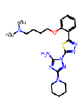 CCCCN(CCCC)CCCCOc1ccccc1-c1nnc(-n2nc(N3CCCCC3)nc2N)s1